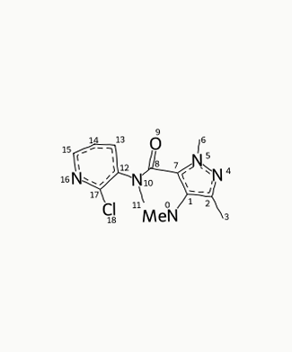 CNc1c(C)nn(C)c1C(=O)N(C)c1cccnc1Cl